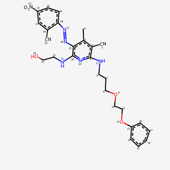 Cc1c(C#N)c(NCCCOCCOc2ccccc2)nc(NCCO)c1N=Nc1ccc([N+](=O)[O-])cc1C#N